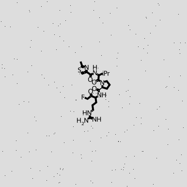 Cc1nc(C(=O)NC(C(=O)N2CCC[C@H]2C(=O)NC(CCCNC(=N)N)C(=O)CF)C(C)C)cs1